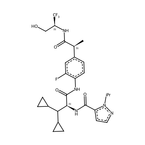 CC(C)n1nccc1C(=O)N[C@H](C(=O)Nc1ccc([C@H](C)C(=O)N[C@@H](CO)C(F)(F)F)cc1F)C(C1CC1)C1CC1